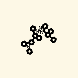 c1ccc(-c2ccc(-c3nc(-n4c5ccccc5c5cc(-c6ccc7c(c6)c6ccccc6n7-c6ccccc6)c6ccccc6c54)nc4ccccc34)c3ccccc23)cc1